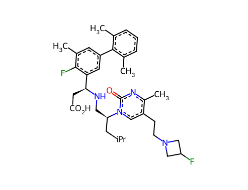 Cc1cc(-c2c(C)cccc2C)cc([C@H](CC(=O)O)NC[C@H](CC(C)C)n2cc(CCN3CC(F)C3)c(C)nc2=O)c1F